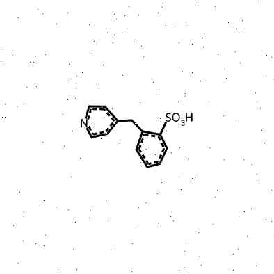 O=S(=O)(O)c1ccccc1Cc1ccncc1